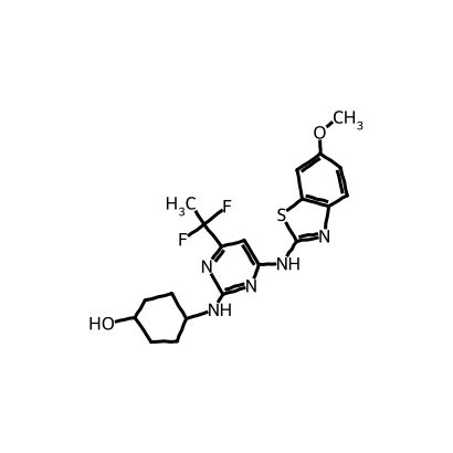 COc1ccc2nc(Nc3cc(C(C)(F)F)nc(NC4CCC(O)CC4)n3)sc2c1